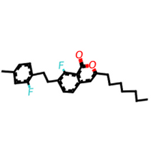 CCCCCCCc1cc2ccc(CCc3ccc(C)cc3F)c(F)c2c(=O)o1